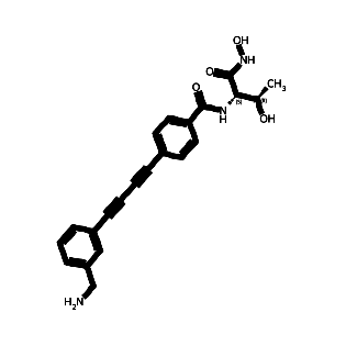 C[C@@H](O)[C@H](NC(=O)c1ccc(C#CC#Cc2cccc(CN)c2)cc1)C(=O)NO